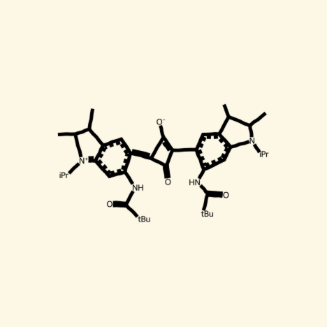 CC1c2cc(C3=C([O-])/C(=c4\cc5c(cc4NC(=O)C(C)(C)C)=[N+](C(C)C)C(C)C5C)C3=O)c(NC(=O)C(C)(C)C)cc2N(C(C)C)C1C